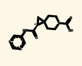 O=C(Nc1cncnc1)[C@H]1CC12CCN(C(=O)O)CC2